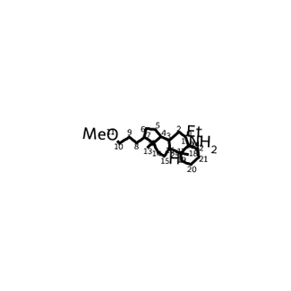 CC[C@H]1CC2C3CCC(CCCOC)C3(C)CC[C@@H]2C2(C)CCCCC12N